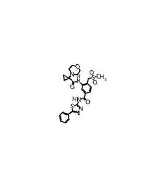 CS(=O)(=O)Cc1ccc(C(=O)Nc2nnc(-c3ccccc3)s2)cc1NC(=O)C1(N2CCOCC2)CC1